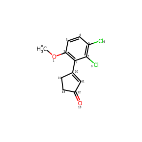 COc1ccc(Cl)c(Cl)c1C1=CC(=O)CC1